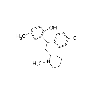 Cc1ccc(O)c(C(CC2CCCCN2C)c2ccc(Cl)cc2)c1